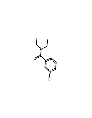 CCN(CC)C(=O)c1ccc[n+]([O-])c1